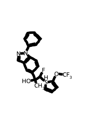 CC(O)(c1ccc2c(cnn2-c2ccccc2)c1)C(F)[SH]1C=CC=C1OC(F)(F)F